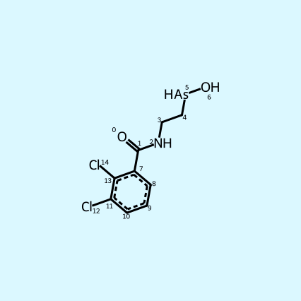 O=C(NCC[AsH]O)c1cccc(Cl)c1Cl